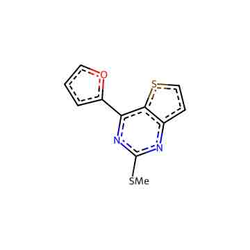 CSc1nc(-c2ccco2)c2sccc2n1